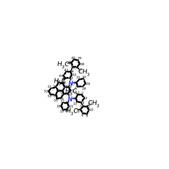 Cc1ccc(-c2c(C)cccc2C)cc1N(c1ccccc1)c1cc(N(c2ccccc2)c2cc(-c3c(C)cccc3C)ccc2C)c2ccc3cccc4ccc1c2c43